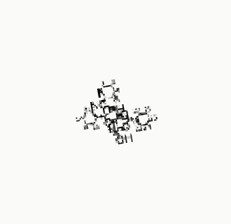 N#Cc1ncccc1C[C@H]1OC(c2ccccc2)O[C@H]2[C@H]1OC(c1ccccc1)O[C@@H]2CO